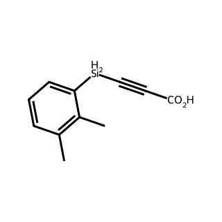 Cc1cccc([SiH2]C#CC(=O)O)c1C